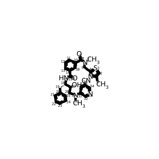 Cc1csc(CN(C)C(=O)c2cccc(C(=O)N[C@@H](Cc3ccccc3)[C@H](O)CN(C)c3cncc(C#N)c3)c2)n1